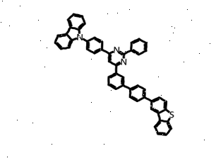 c1ccc(-c2nc(-c3ccc(-n4c5ccccc5c5ccccc54)cc3)cc(-c3cccc(-c4ccc(-c5ccc6sc7ccccc7c6c5)cc4)c3)n2)cc1